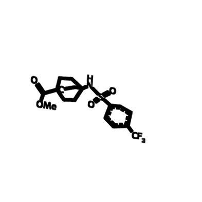 COC(=O)C12CCC(NS(=O)(=O)c3ccc(C(F)(F)F)cc3)(CC1)CC2